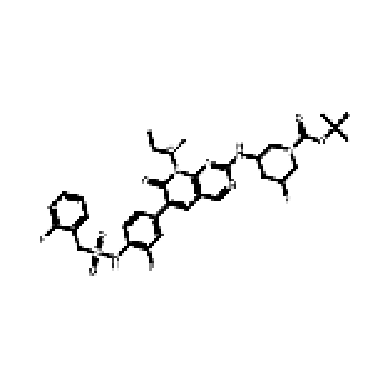 CC[C@@H](C)n1c(=O)c(-c2ccc(NS(=O)(=O)Cc3ccccc3F)c(F)c2)cc2cnc(NC3CC(F)CN(C(=O)OC(C)(C)C)C3)nc21